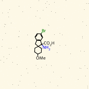 COC1CCC2(CC1)Cc1ccc(Br)cc1[C@]2(N)C(=O)O